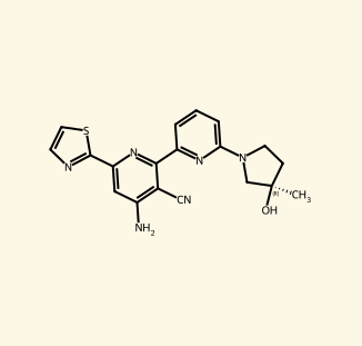 C[C@@]1(O)CCN(c2cccc(-c3nc(-c4nccs4)cc(N)c3C#N)n2)C1